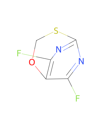 Fc1nc2nc(F)c1OCS2